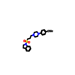 COc1ccc(N2CCN(CCCS(=O)(=O)N3CCc4ccccc43)CC2)cc1